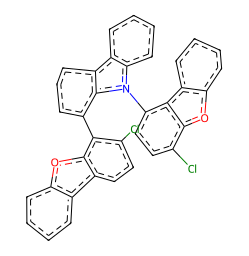 Clc1ccc2c(oc3ccccc32)c1-c1cccc2c3ccccc3n(-c3ccc(Cl)c4oc5ccccc5c34)c12